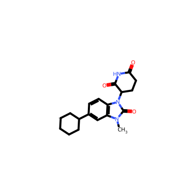 Cn1c(=O)n(C2CCC(=O)NC2=O)c2ccc(C3C[CH]CCC3)cc21